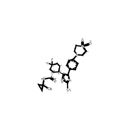 Cc1nc(-c2ccc(N3CCS(=O)(=O)CC3)cc2)c([C@@H]2CCC(F)(F)C[C@H]2C(=O)NC2(C#N)CC2)o1